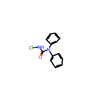 O=C(NCl)N(c1ccccc1)c1ccccc1